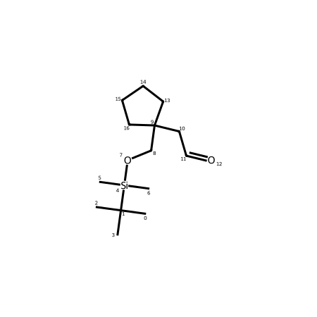 CC(C)(C)[Si](C)(C)OCC1(CC=O)CCCC1